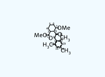 COC(=O)C1CCCC(OC)C1C(=O)Cc1c(C)cc(C)cc1C